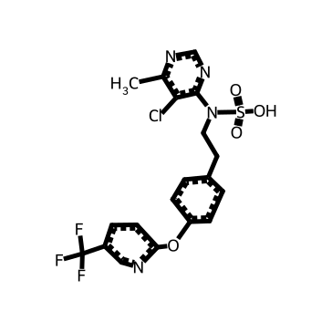 Cc1ncnc(N(CCc2ccc(Oc3ccc(C(F)(F)F)cn3)cc2)S(=O)(=O)O)c1Cl